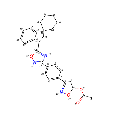 CC(=O)O[C@H]1CC(c2ccc(-c3noc(CCC4(c5ccccc5)CCCCC4)n3)cc2)=NO1